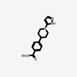 COC(=O)c1ccc(C2CCN(c3ccn[nH]3)CC2)cc1